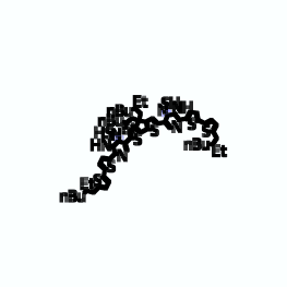 CCCCC(CC)Cc1ccc(-c2ccc(C3=NC=C(c4cc5c(s4)-c4sc(C6=CN=C(c7ccc(-c8ccc(CC(CC)CCCC)s8)s7)C(=N)/C6=N\S)cc4C5(CC(CC)CCCC)CC(CC)CCCC)/C(=N/S)C3=N)s2)s1